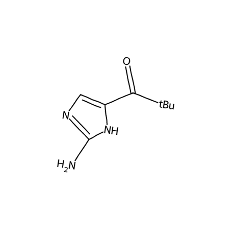 CC(C)(C)C(=O)c1cnc(N)[nH]1